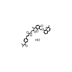 Cc1ccc2cccc(OCc3c(Cl)ccc(N(C)C(=O)CNC(=O)C=Cc4ccc(C(=O)N(C)C)cc4)c3Cl)c2n1.Cl